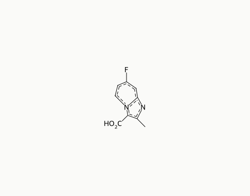 Cc1nc2cc(F)ccn2c1C(=O)O